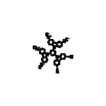 [C-]#[N+]c1ccc2c(c1)c1cc([N+]#[C-])ccc1n2-c1cc(-n2c3ccc(C#N)cc3c3cc(C#N)ccc32)cc(-n2c3ccc([N+]#[C-])cc3c3cc([N+]#[C-])ccc32)c1